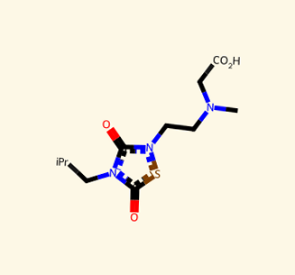 CC(C)Cn1c(=O)sn(CCN(C)CC(=O)O)c1=O